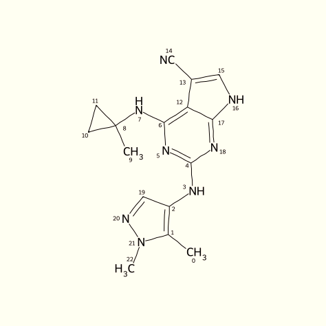 Cc1c(Nc2nc(NC3(C)CC3)c3c(C#N)c[nH]c3n2)cnn1C